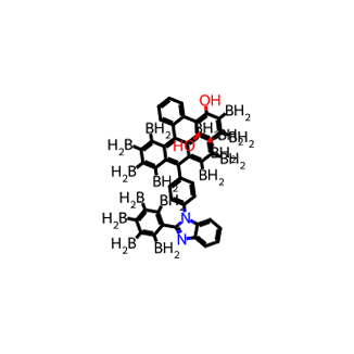 Bc1c(B)c(B)c(-c2nc3ccccc3n2-c2ccc(-c3c4c(B)c(B)c(B)c(B)c4c(-c4ccccc4-c4c(O)c(B)c(B)c(B)c4O)c4c(B)c(B)c(B)c(B)c34)cc2)c(B)c1B